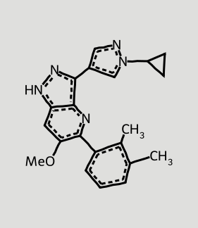 COc1cc2[nH]nc(-c3cnn(C4CC4)c3)c2nc1-c1cccc(C)c1C